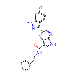 Cn1nc(-c2cnc3[nH]cc(C(=O)NCCc4ccccc4)c3n2)c2ccc(Cl)cc21